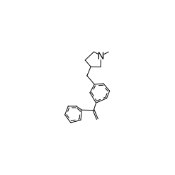 C=C(c1ccccc1)c1cccc(CC2CCN(C)C2)c1